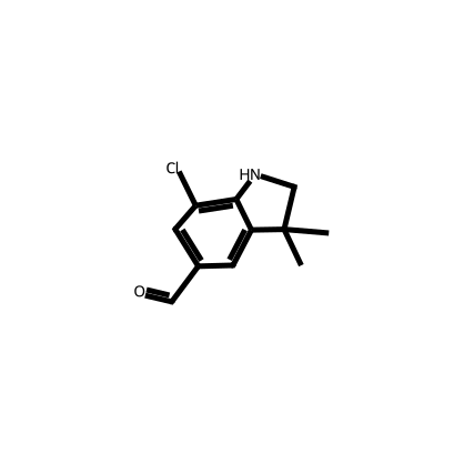 CC1(C)CNc2c(Cl)cc(C=O)cc21